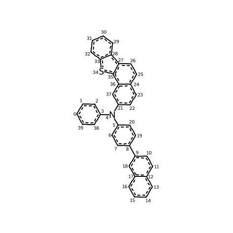 c1ccc(N(c2ccc(-c3ccc4ccccc4c3)cc2)c2ccc3ccc4c5ccccc5sc4c3c2)cc1